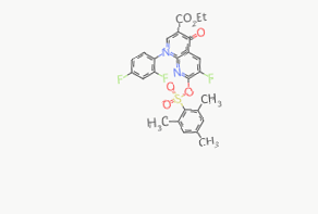 CCOC(=O)c1cn(-c2ccc(F)cc2F)c2nc(OS(=O)(=O)c3c(C)cc(C)cc3C)c(F)cc2c1=O